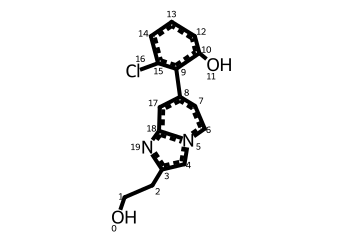 OCCc1cn2ccc(-c3c(O)cccc3Cl)cc2n1